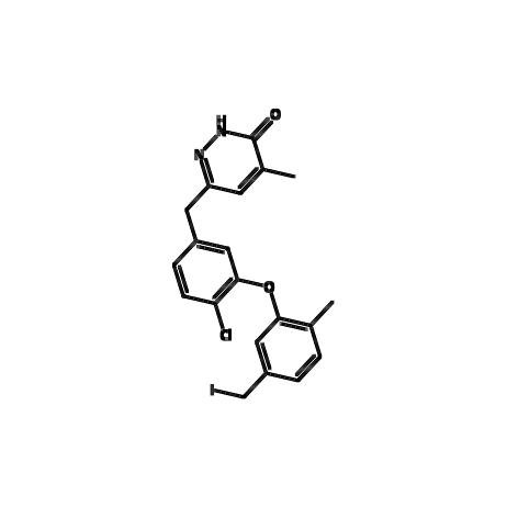 Cc1ccc(CI)cc1Oc1cc(Cc2cc(C)c(=O)[nH]n2)ccc1Cl